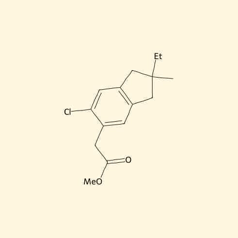 CCC1(C)Cc2cc(Cl)c(CC(=O)OC)cc2C1